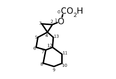 O=C(O)OC1CC12CCC1CCCCC1C2